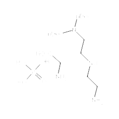 CCCCCCCCCCN(CCCCCCCCCC)CCNCCN.NCC(=O)O.O=P(O)(O)O